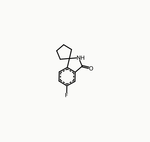 O=C1NC2(CCCC2)c2ccc(F)cc21